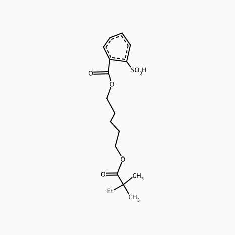 CCC(C)(C)C(=O)OCCCCCOC(=O)c1ccccc1S(=O)(=O)O